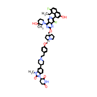 CCc1c(F)ccc2cc(O)cc(-c3ncc4c(N5CCC[C@@](C)(O)C5)nc(OC[C@@]56CCCN5[C@H](COc5ccc(CCN7CCC(c8ccc9c(c8)n(C)c(=O)n9C8CCC(=O)NC8=O)CC7)cc5)CC6)nc4c3F)c12